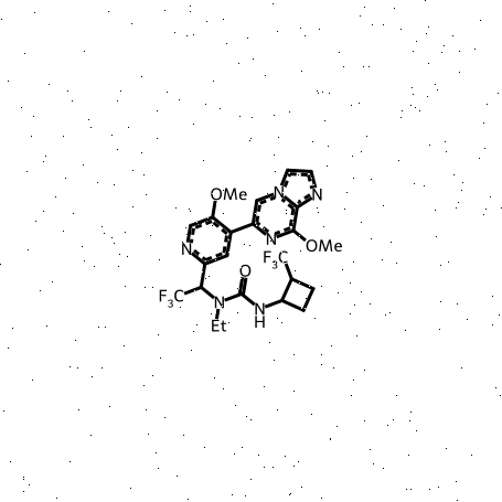 CCN(C(=O)NC1CCC1C(F)(F)F)C(c1cc(-c2cn3ccnc3c(OC)n2)c(OC)cn1)C(F)(F)F